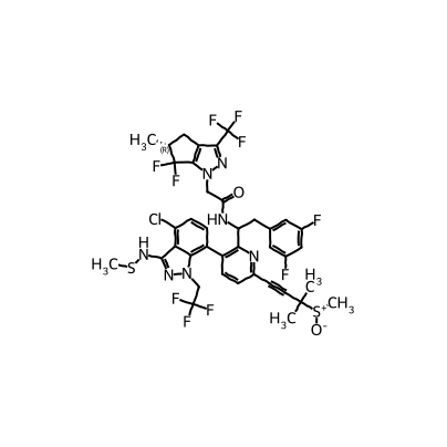 CSNc1nn(CC(F)(F)F)c2c(-c3ccc(C#CC(C)(C)[S+](C)[O-])nc3C(Cc3cc(F)cc(F)c3)NC(=O)Cn3nc(C(F)(F)F)c4c3C(F)(F)[C@H](C)C4)ccc(Cl)c12